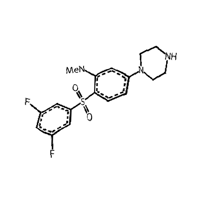 CNc1cc(N2CCNCC2)ccc1S(=O)(=O)c1cc(F)cc(F)c1